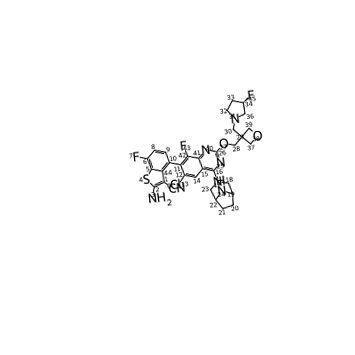 N#Cc1c(N)sc2c(F)ccc(-c3c(Cl)cc4c(N5CC6CCC(C5)N6)nc(OCC5(CN6CC[C@@H](F)C6)COC5)nc4c3F)c12